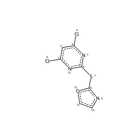 Clc1cc(Cl)nc(Sc2ncco2)n1